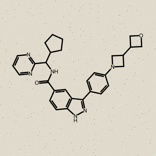 O=C(NC(c1ncccn1)C1CCCC1)c1ccc2[nH]nc(-c3ccc(N4CC(C5COC5)C4)cc3)c2c1